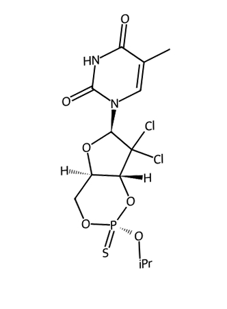 Cc1cn([C@@H]2O[C@@H]3CO[P@@](=S)(OC(C)C)O[C@H]3C2(Cl)Cl)c(=O)[nH]c1=O